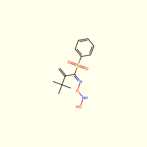 C=C(/C(=N\ONO)S(=O)(=O)c1ccccc1)C(C)(C)C